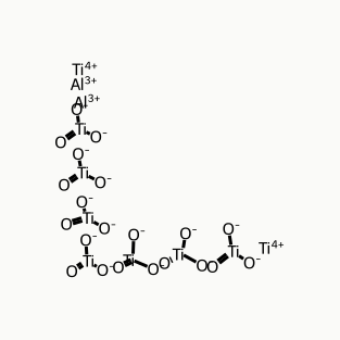 [Al+3].[Al+3].[O]=[Ti]([O-])[O-].[O]=[Ti]([O-])[O-].[O]=[Ti]([O-])[O-].[O]=[Ti]([O-])[O-].[O]=[Ti]([O-])[O-].[O]=[Ti]([O-])[O-].[O]=[Ti]([O-])[O-].[Ti+4].[Ti+4]